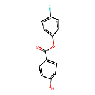 O=C(Oc1ccc(F)cc1)c1ccc(O)cc1